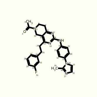 CC(=O)N1CCc2nc(Nc3ccc(-n4ccnc4C)cc3)nc(CCc3cccc(F)c3)c2C1